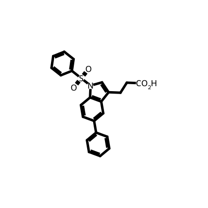 O=C(O)CCc1cn(S(=O)(=O)c2ccccc2)c2ccc(-c3ccccc3)cc12